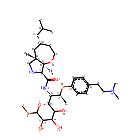 CSC1O[C@H]([C@H](NC(=O)[C@H]2NC[C@@H]3C[C@H](CC(C)C)CCO[C@H]32)[C@H](C)Sc2ccc(CCN(C)C)cc2)C(O)C(O)[C@H]1O